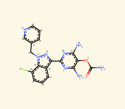 NC(=O)Oc1c(N)nc(-c2nn(Cc3cccnc3)c3c(F)cccc23)nc1N